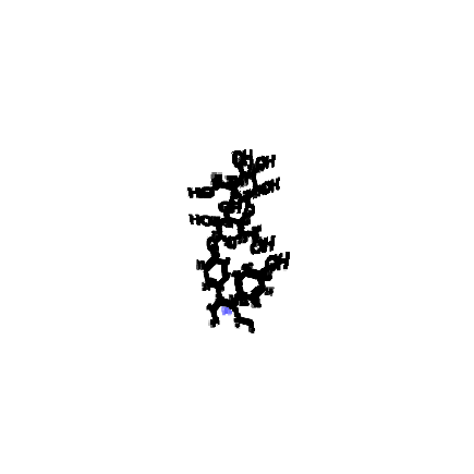 CC/C(=C(\CC)c1ccc(OC2OC(CO)C(OC3OC(CO)C(O)C(O)C3O)C(O)C2O)cc1)c1ccc(O)cc1